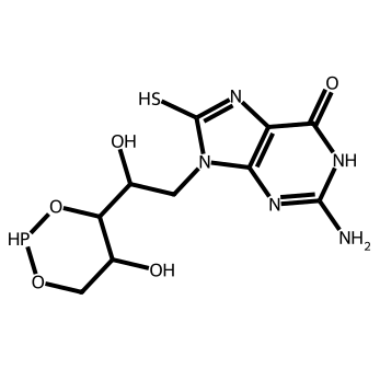 Nc1nc2c(nc(S)n2CC(O)C2OPOCC2O)c(=O)[nH]1